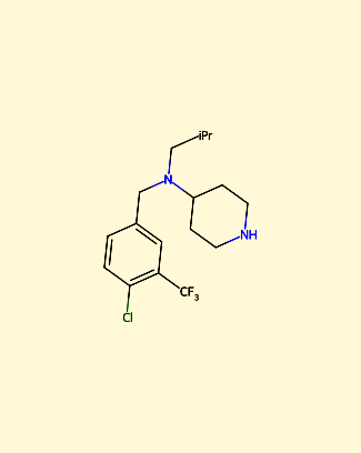 CC(C)CN(Cc1ccc(Cl)c(C(F)(F)F)c1)C1CCNCC1